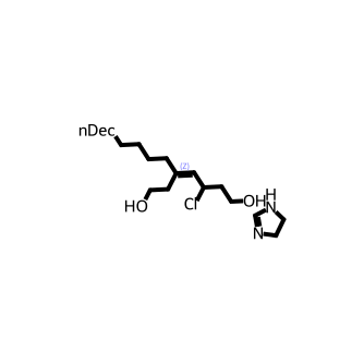 C1=NCCN1.CCCCCCCCCCCCCC/C(=C/C(Cl)CCO)CCO